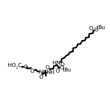 CC(C)(C)OC(=O)CCCCCCCCCCCCCCCCC(=O)NC(CCC(=O)NC(C)(C)C(=O)NCCOCCOCC(=O)O)C(=O)OC(C)(C)C